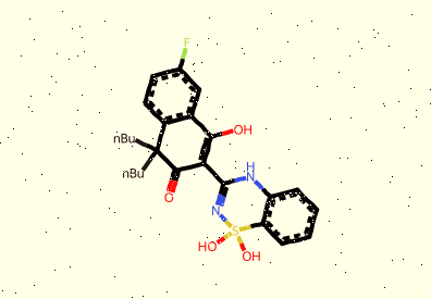 CCCCC1(CCCC)C(=O)C(C2=NS(O)(O)c3ccccc3N2)=C(O)c2cc(F)ccc21